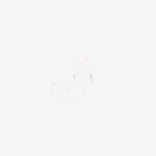 CC1(c2cc(O)cc(O)c2)SCCS1